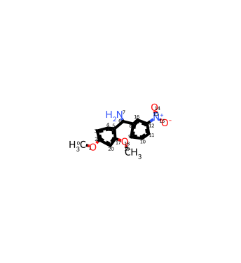 COc1ccc(C(N)c2cccc([N+](=O)[O-])c2)c(OC)c1